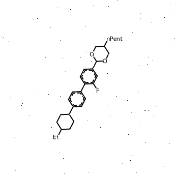 CCCCCC1COC(c2ccc(-c3ccc(C4CCC(CC)CC4)cc3)c(F)c2)OC1